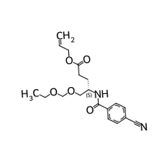 C=CCOC(=O)CC[C@@H](COCOCC)NC(=O)c1ccc(C#N)cc1